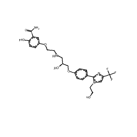 NC(=O)c1cc(OCCNCC(O)COc2ccc(-c3nc(C(F)(F)F)cn3CCO)cc2)ccc1O